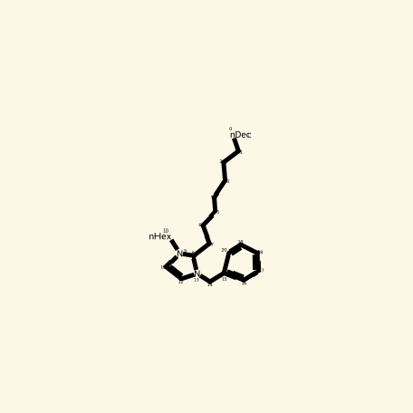 CCCCCCCCCCCCCCCCCC1N(CCCCCC)C=CN1Cc1ccccc1